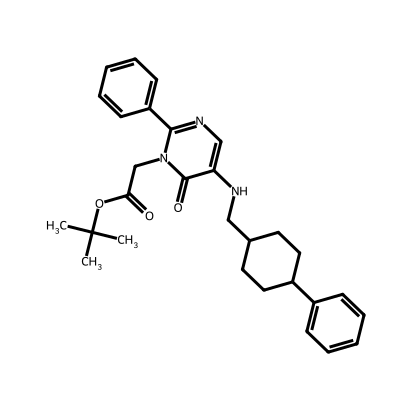 CC(C)(C)OC(=O)Cn1c(-c2ccccc2)ncc(NCC2CCC(c3ccccc3)CC2)c1=O